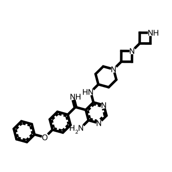 N=C(c1ccc(Oc2ccccc2)cc1)c1c(N)ncnc1NC1CCN(C2CN(C3CNC3)C2)CC1